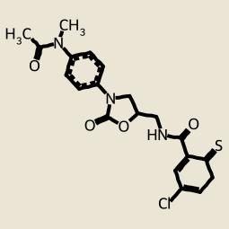 CC(=O)N(C)c1ccc(N2CC(CNC(=O)C3=CC(Cl)=CCC3=S)OC2=O)cc1